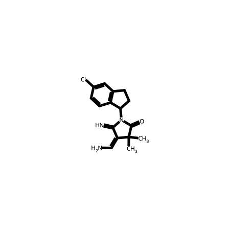 CC1(C)C(=O)N(C2CCc3cc(Cl)ccc32)C(=N)/C1=C\N